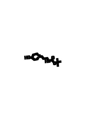 CC(C)(C)OC(=O)NCCCN1CCC(O)CC1